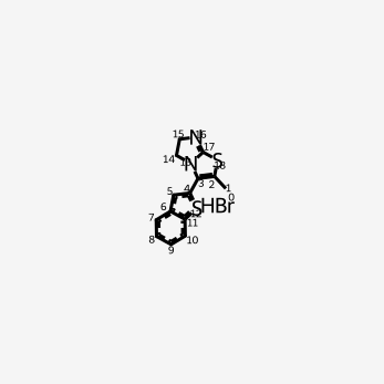 Br.CC1=C(c2cc3ccccc3s2)N2CCN=C2S1